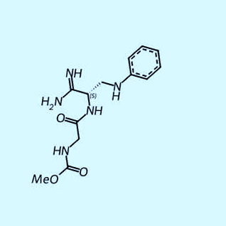 COC(=O)NCC(=O)N[C@@H](CNc1ccccc1)C(=N)N